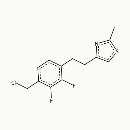 Cc1nc(CCc2ccc(CCl)c(F)c2F)cs1